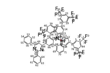 FC(F)(F)c1cc(-c2ccc3c(c2)c2cc(-c4cc(C(F)(F)F)cc(C(F)(F)F)c4)ccc2n3-c2c(-c3ccccc3C(F)(F)F)cc(-c3cc(-c4ccccc4)nc(-c4ccccc4)n3)cc2-c2ccccc2C(F)(F)F)cc(C(F)(F)F)c1